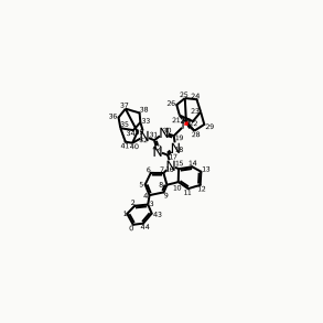 c1ccc(-c2ccc3c(c2)c2ccccc2n3-c2nc(N3C4CC5CC(C4)CC3C5)nc(N3C4CC5CC(C4)CC3C5)n2)cc1